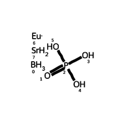 B.O=P(O)(O)O.[Eu].[SrH2]